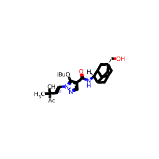 CC(=O)C(C)(C)/C=C/n1ncc(C(=O)N[C@H]2C3CC4CC2C[C@](CO)(C4)C3)c1OCC(C)C